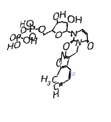 C#C/C=C\c1c(Cn2c(=O)ccn(C3OC(COP(=O)(O)OP(=O)(O)O)C(O)C3O)c2=O)noc1C